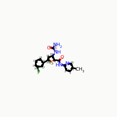 Cc1ccc(NC(=O)c2sc(-c3cccc(F)c3)cc2NC(N)=O)nc1